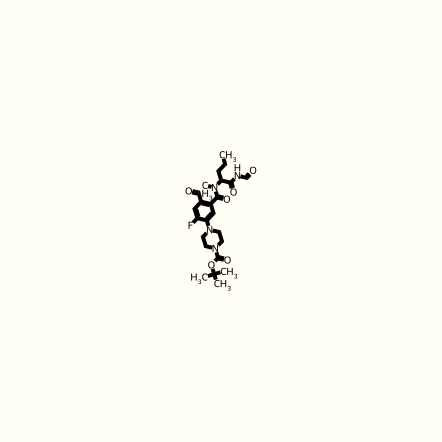 CCCC(C(=O)NC=O)N(C)C(=O)c1cc(N2CCN(C(=O)OC(C)(C)C)CC2)c(F)cc1C=O